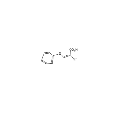 CCC(=COc1ccccc1)C(=O)O